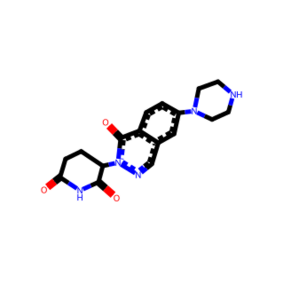 O=C1CCC(n2ncc3cc(N4CCNCC4)ccc3c2=O)C(=O)N1